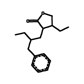 CCC(Cc1ccccc1)CC1C(=O)OCC1CC